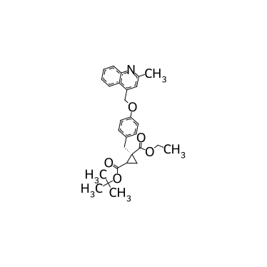 CCOC(=O)[C@@]1(Cc2ccc(OCc3cc(C)nc4ccccc34)cc2)CC1C(=O)OC(C)(C)C